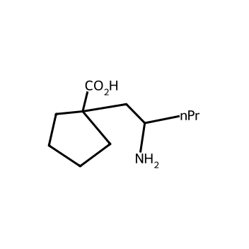 CCCC(N)CC1(C(=O)O)CCCC1